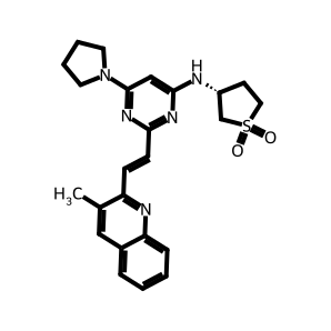 Cc1cc2ccccc2nc1C=Cc1nc(N[C@@H]2CCS(=O)(=O)C2)cc(N2CCCC2)n1